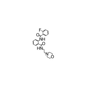 O=C(Nc1ccccc1C(=O)NCCN1CCOCC1)c1ccccc1F